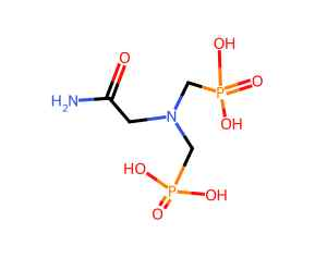 NC(=O)CN(CP(=O)(O)O)CP(=O)(O)O